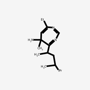 CCC1=CC(C)(N)C(C(C)CC(C)C(C)C)=NC=N1